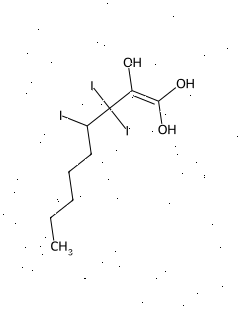 CCCCCC(I)C(I)(I)C(O)=C(O)O